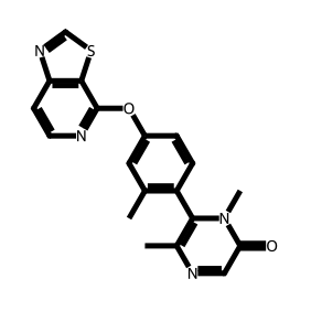 Cc1cc(Oc2nccc3ncsc23)ccc1-c1c(C)ncc(=O)n1C